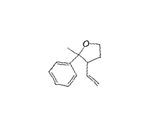 C=CC1CCOC1(C)c1ccccc1